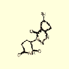 [2H]c1ccc2nnn(C3CCC(=O)NC3=O)c(=O)c2c1